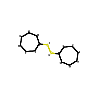 C1CCCC(SSC2CCCCCC2)CC1